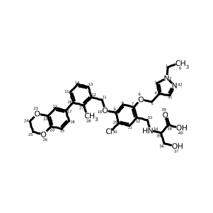 CCn1cc(COc2cc(OCc3cccc(-c4ccc5c(c4)OCCO5)c3C)c(Cl)cc2CNC(CO)C(=O)O)cn1